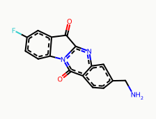 NCc1ccc2c(=O)n3c(nc2c1)C(=O)c1cc(F)ccc1-3